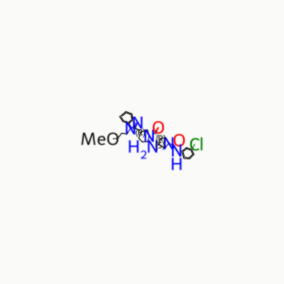 COCCCn1c([C@@H]2CCCN(C(=O)[C@@H]3CN(C(=O)Nc4cccc(Cl)c4)C[C@H]3N)C2)nc2ccccc21